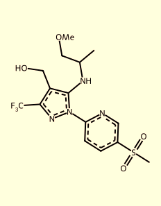 COCC(C)Nc1c(CO)c(C(F)(F)F)nn1-c1ccc(S(C)(=O)=O)cn1